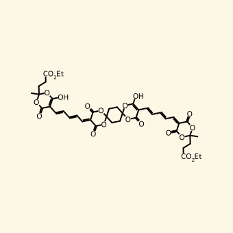 CCOC(=O)CCC1(C)OC(=O)C(=C/C=C/C=C/C2=C(O)OC3(CCC4(CC3)OC(=O)C(=C/C=C/C=C/C3=C(O)OC(C)(CCC(=O)OCC)OC3=O)C(=O)O4)OC2=O)C(=O)O1